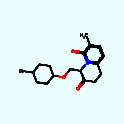 CCC1CCC(OCC2C(=O)CCc3ccc(C)c(=O)n32)CC1